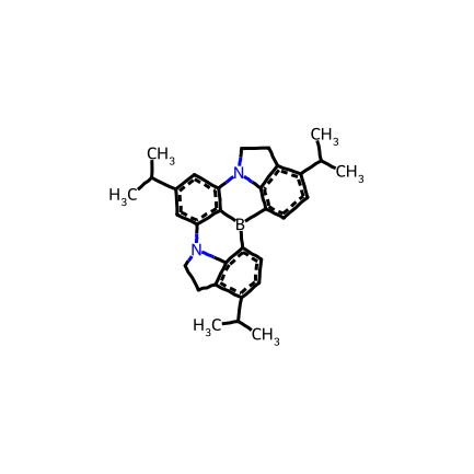 CC(C)c1cc2c3c(c1)N1CCc4c(C(C)C)ccc(c41)B3c1ccc(C(C)C)c3c1N2CC3